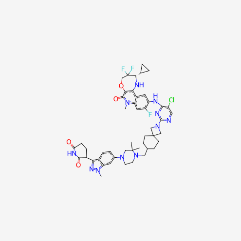 Cn1nc(C2CCC(=O)NC2=O)c2ccc(N3CCN(CC4CCC5(CC4)CN(c4ncc(Cl)c(Nc6cc7c8c(c(=O)n(C)c7cc6F)OCC(F)(F)[C@H](C6CC6)N8)n4)C5)C(C)(C)C3)cc21